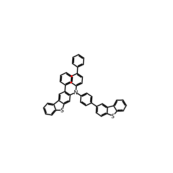 c1ccc(-c2ccc(N(c3ccc(-c4ccc5sc6ccccc6c5c4)cc3)c3cc4sc5ccccc5c4cc3-c3ccccc3)cc2)cc1